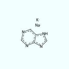 [K].[Na].c1ncc2[nH]cnc2n1